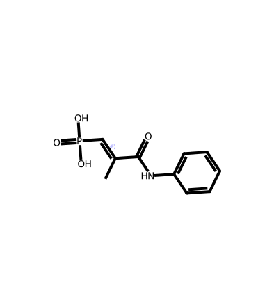 C/C(=C\P(=O)(O)O)C(=O)Nc1ccccc1